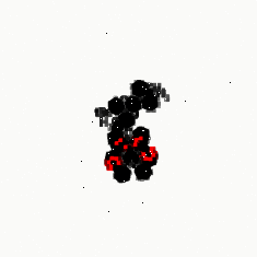 CC(C)(C)c1ccc2c(c1)B1c3cc(C(C)(C)Cc4cccc(-c5cc(-c6c(-n7c8ccccc8c8ccccc87)c(-n7c8ccccc8c8ccccc87)nc(-n7c8ccccc8c8ccccc87)c6-n6c7ccccc7c7ccccc76)nc(-c6ccccc6)n5)c4)ccc3Oc3cc(N4c5ccccc5C(C)(C)c5ccccc54)cc(c31)O2